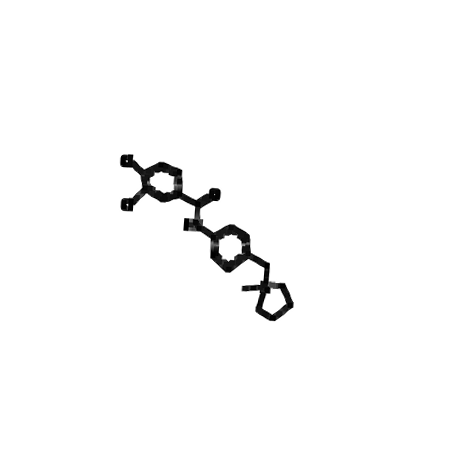 C[N+]1(Cc2ccc(NC(=O)c3ccc(Cl)c(Cl)c3)cc2)CCCC1